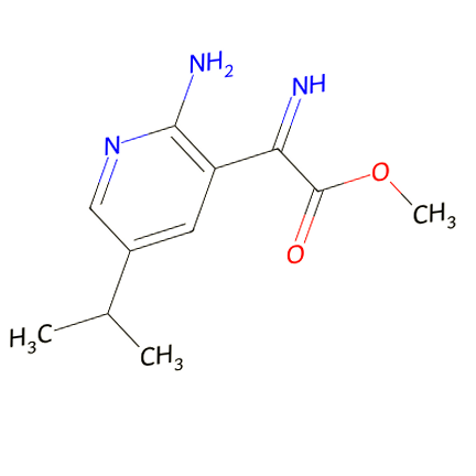 COC(=O)C(=N)c1cc(C(C)C)cnc1N